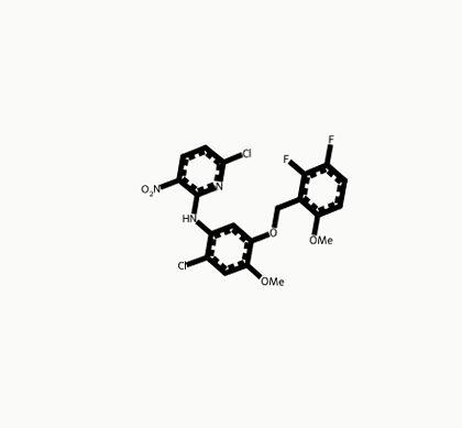 COc1cc(Cl)c(Nc2nc(Cl)ccc2[N+](=O)[O-])cc1OCc1c(OC)ccc(F)c1F